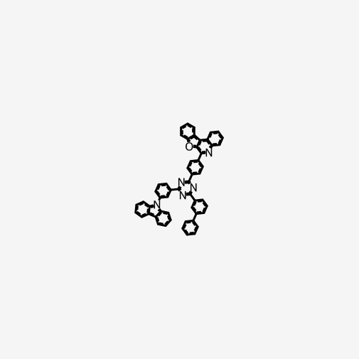 c1ccc(-c2cccc(-c3nc(-c4ccc(-c5nc6ccccc6c6c5oc5ccccc56)cc4)nc(-c4cccc(-n5c6ccccc6c6ccccc65)c4)n3)c2)cc1